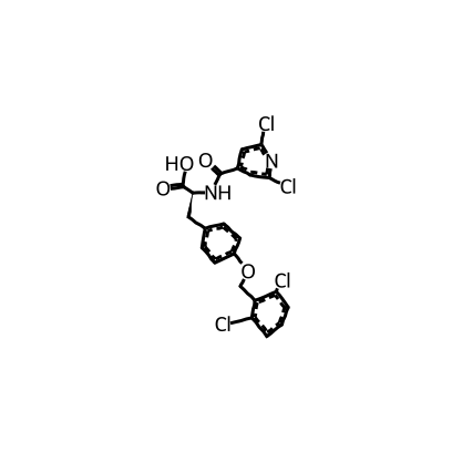 O=C(N[C@@H](Cc1ccc(OCc2c(Cl)cccc2Cl)cc1)C(=O)O)c1cc(Cl)nc(Cl)c1